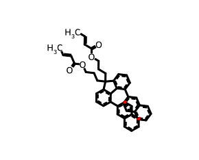 CC=CC(=O)OCCCC1(CCCOC(=O)C=CC)c2cccc(-c3ccc4ccccc4c3)c2-c2c(-c3ccc4ccccc4c3)cccc21